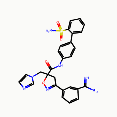 N=C(N)c1cccc(C2=NOC(Cn3ccnc3)(C(=O)Nc3ccc(-c4ccccc4S(N)(=O)=O)cc3)C2)c1